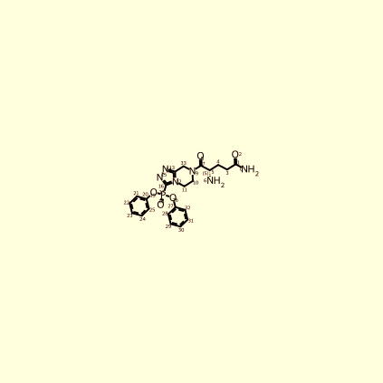 NC(=O)CC[C@H](N)C(=O)N1CCn2c(nnc2P(=O)(Oc2ccccc2)Oc2ccccc2)C1